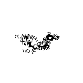 NC(N)NCCC[C@H](NC(=O)c1sccc1NS(=O)(=O)c1ccc2nsnc2c1)C(=O)O